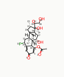 CC(=O)OC1=CC(=O)C=C2[C@@H](F)C[C@@H]3[C@H]([C@@H](O)C[C@@]4(C)[C@H]3C[C@H](C)[C@]4(O)C(=O)CO)[C@@]12C